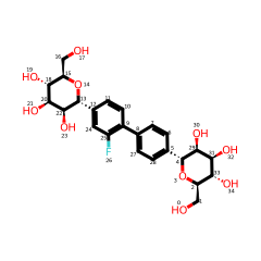 OC[C@H]1O[C@H](c2ccc(-c3ccc([C@H]4O[C@H](CO)[C@@H](O)[C@H](O)[C@@H]4O)cc3F)cc2)[C@@H](O)[C@@H](O)[C@@H]1O